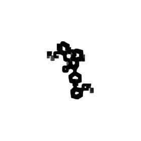 O=c1c(C2CCN(c3ccccc3C(F)(F)F)CC2)cc2nccnc2n1Cc1nccnc1C(F)(F)F